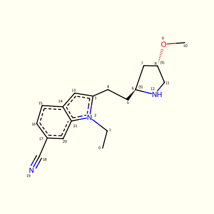 CCn1c(CC[C@H]2C[C@H](OC)CN2)cc2ccc(C#N)cc21